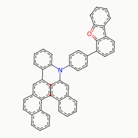 c1ccc(N(c2ccc(-c3cccc4c3oc3ccccc34)cc2)c2ccc3ccccc3c2)c(-c2ccc3c(ccc4ccccc43)c2)c1